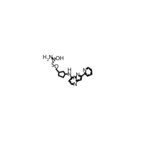 NN(O)SOCC1CCC(Nc2ccnc3cc(-c4ccccn4)nn23)C1